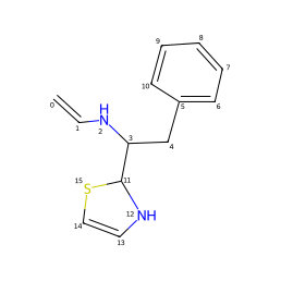 C=CNC(Cc1ccccc1)C1NC=CS1